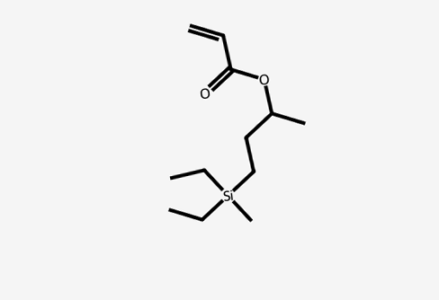 C=CC(=O)OC(C)CC[Si](C)(CC)CC